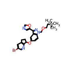 C[Si](C)(C)CCOCn1nc(-c2cnco2)c2cc(OC3CCc4cc(Br)cnc43)ccc21